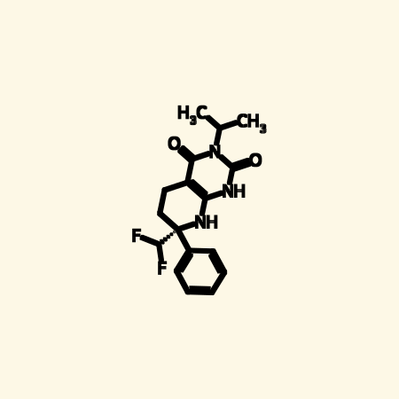 CC(C)n1c(=O)[nH]c2c(c1=O)CC[C@@](c1ccccc1)(C(F)F)N2